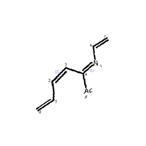 C=C/C=C\C(=N/C=C)C(C)=O